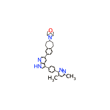 Cc1cc(C)c(-c2ccc(-c3c[nH]c4ncc(-c5ccc6c(c5)CC[C@@H](N5C7COCC5C7)CC6)cc34)cc2)nn1